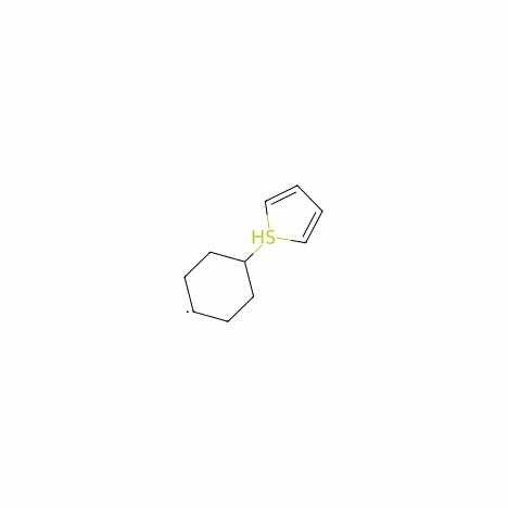 [CH]1CCC([SH]2C=CC=C2)CC1